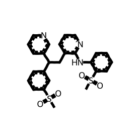 CS(=O)(=O)c1cccc(C(Cc2cccnc2Nc2ccccc2S(C)(=O)=O)c2cccnc2)c1